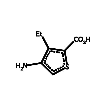 CCc1c(N)csc1C(=O)O